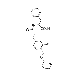 O=C(NC(Cc1ccccc1)C(=O)O)OCc1ccc(COc2ccccc2)c(F)c1